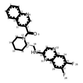 O=C(c1cnc2ccccc2c1)N1CCCC[C@H]1CNc1cnc2cc(F)c(F)cc2n1